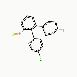 Fc1ccc(-c2cccc(P=S)c2-c2ccc(Cl)cc2)cc1